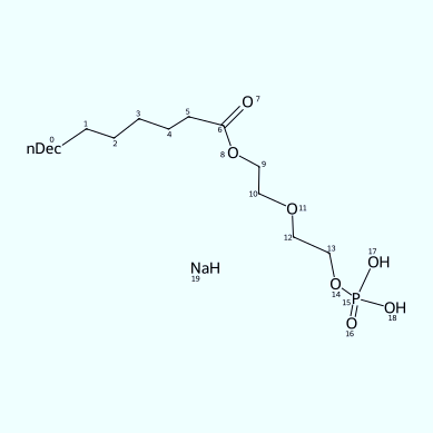 CCCCCCCCCCCCCCCC(=O)OCCOCCOP(=O)(O)O.[NaH]